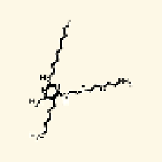 CCCCCCc1c(C)nc(NCCCCCCCCF)nc1NCCOCCOCCN